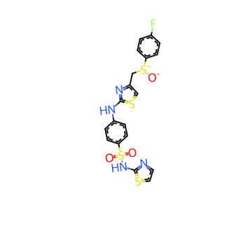 O=S(=O)(Nc1nccs1)c1ccc(Nc2nc(C[S+]([O-])c3ccc(F)cc3)cs2)cc1